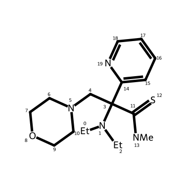 CCN(CC)C(CN1CCOCC1)(C(=S)NC)c1ccccn1